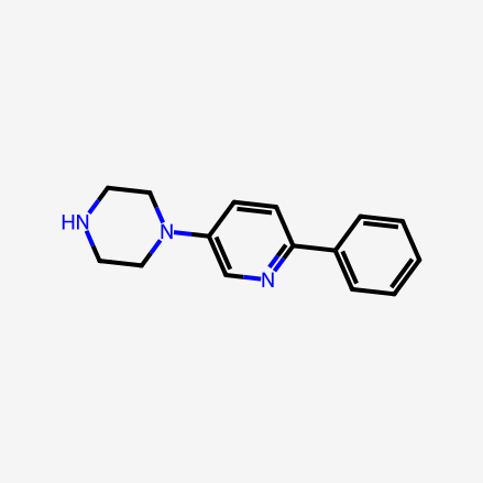 c1ccc(-c2ccc(N3CCNCC3)cn2)cc1